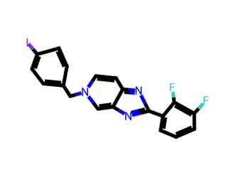 Fc1cccc(-c2nc3ccn(Cc4ccc(I)cc4)cc-3n2)c1F